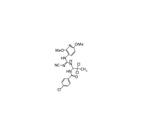 COc1ccc(N/C(=N\C#N)NC(NC(=O)c2ccc(Cl)cc2)C(C)(Cl)Cl)c(OC)n1